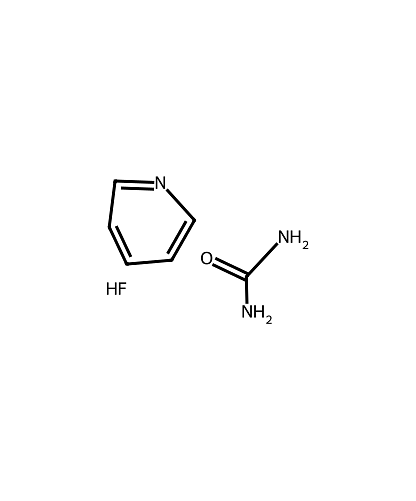 F.NC(N)=O.c1ccncc1